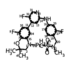 CC(C)N1CC(C)(C)Oc2c(F)cc(-c3cc(Nc4ccc(CN(C)S(C)(=O)=O)c(F)c4)ncc3F)cc21